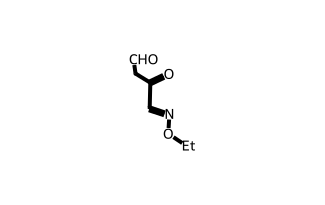 CCON=CC(=O)CC=O